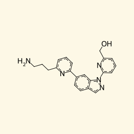 NCCCc1cccc(-c2ccc3cnn(-c4cccc(CO)n4)c3c2)n1